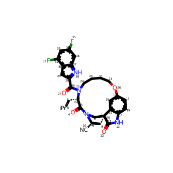 CC(C)C[C@H]1C(=O)N2C[C@]3(C[C@H]2C#N)C(=O)Nc2ccc(cc23)OCCCCN1C(=O)c1cc2c(F)cc(F)cc2[nH]1